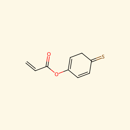 C=CC(=O)OC1=CCC(=S)C=C1